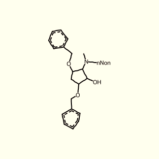 CCCCCCCCCN(C)C1C(OCc2ccccc2)CC(OCc2ccccc2)C1O